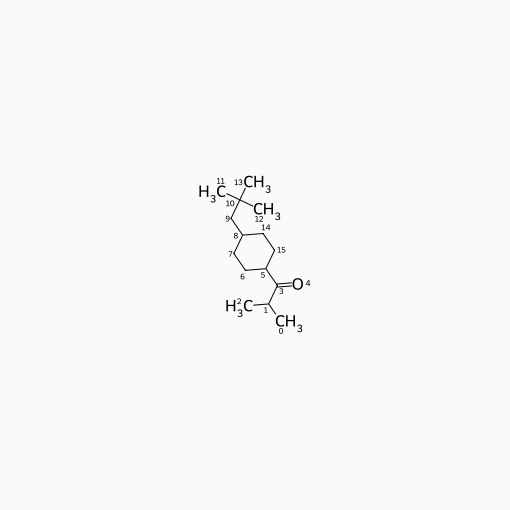 CC(C)C(=O)C1CCC(CC(C)(C)C)CC1